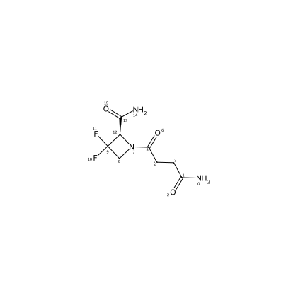 NC(=O)C[CH]C(=O)N1CC(F)(F)[C@H]1C(N)=O